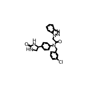 O=C1NCC(c2ccc(N(Cc3cccc(Cl)c3)C(=O)Cn3nnc4ccccc43)cc2)N1